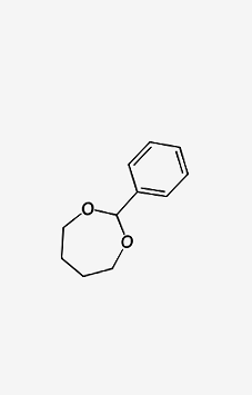 c1ccc(C2OCCCCO2)cc1